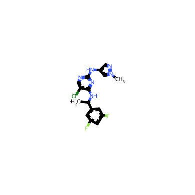 [CH2][C](Nc1nc(Nc2cnn(C)c2)ncc1Cl)c1cc(F)cc(F)c1